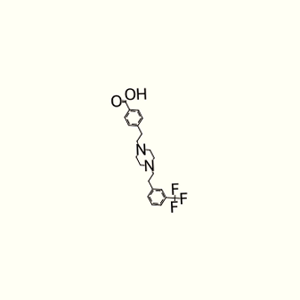 O=C(O)c1ccc(CCN2CCN(CCc3cccc(C(F)(F)F)c3)CC2)cc1